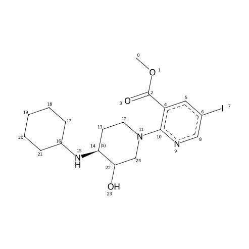 COC(=O)c1cc(I)cnc1N1CC[C@H](NC2CCCCC2)C(O)C1